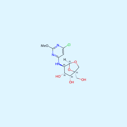 COc1nc(Cl)cc(N[C@H]2[C@H]3OC[C@](CO)(O3)[C@H](O)[C@@H]2O)n1